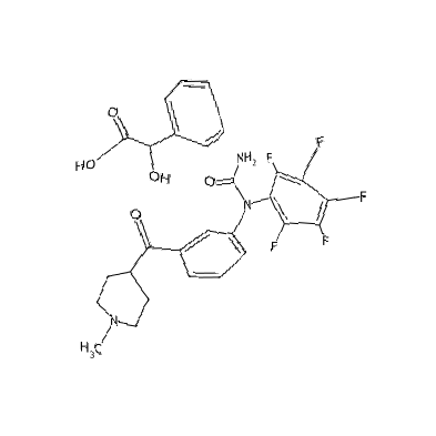 CN1CCC(C(=O)c2cccc(N(C(N)=O)c3c(F)c(F)c(F)c(F)c3F)c2)CC1.O=C(O)C(O)c1ccccc1